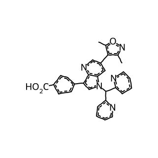 Cc1noc(C)c1-c1cnc2c(-c3ccc(C(=O)O)cc3)cn(C(c3ccccn3)c3ccccn3)c2c1